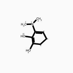 CN(C)C1=CC[CH]C(O)=C1O